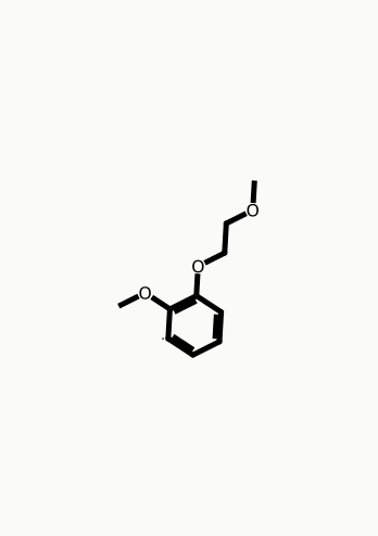 COCCOc1ccc[c]c1OC